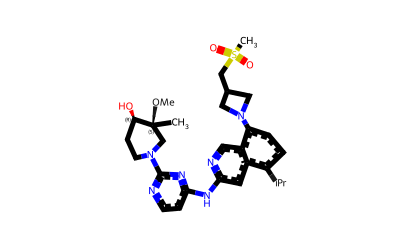 CO[C@@]1(C)CN(c2nccc(Nc3cc4c(C(C)C)ccc(N5CC(CS(C)(=O)=O)C5)c4cn3)n2)CC[C@H]1O